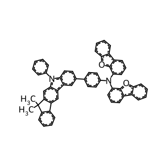 CC1(C)c2ccccc2-c2cc3c4cc(-c5ccc(N(c6cccc7c6oc6ccccc67)c6cccc7c6oc6ccccc67)cc5)ccc4n(-c4ccccc4)c3cc21